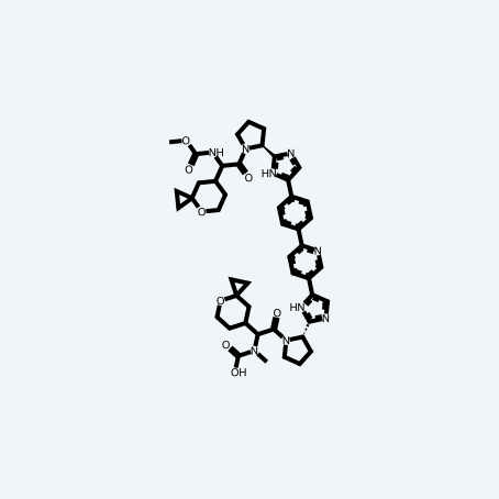 COC(=O)NC(C(=O)N1CCC[C@H]1c1ncc(-c2ccc(-c3ccc(-c4cnc([C@@H]5CCCN5C(=O)C(C5CCOC6(CC6)C5)N(C)C(=O)O)[nH]4)cn3)cc2)[nH]1)C1CCOC2(CC2)C1